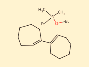 C1=C(C2=CCCCCC2)CCCCC1.CCO[Si](C)(C)CC